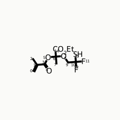 C=C(C)C(=O)OC(C)(OCC(F)(F)S)C(=O)OCC